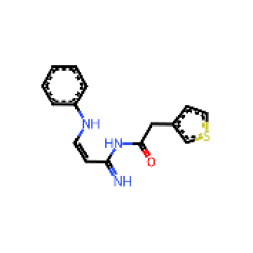 N=C(/C=C\Nc1ccccc1)NC(=O)Cc1ccsc1